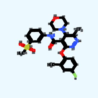 Cc1cc(F)ccc1Oc1nnc(C(F)(F)F)c(N2CCOCC2)c1C(=O)Nc1cccc(S(C)(=O)=O)c1